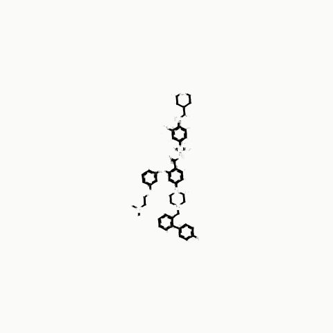 CN(C)CCOc1cccc(Oc2cc(N3CCN(Cc4ccccc4-c4ccc(Cl)cc4)CC3)ccc2C(=O)NS(=O)(=O)c2ccc(NCC3CCOCC3)c([N+](=O)[O-])c2)c1